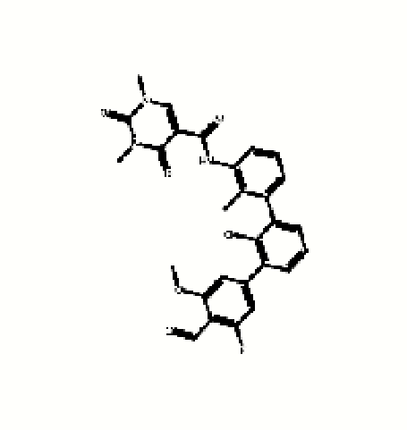 COc1cc(-c2cccc(-c3cccc(NC(=O)c4cn(C)c(=O)n(C)c4=O)c3C)c2Cl)cc(F)c1C=O